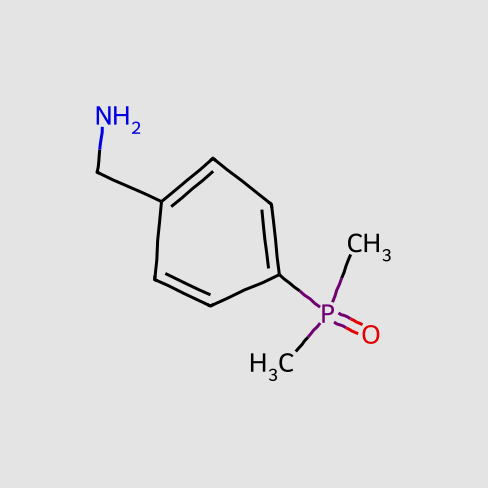 CP(C)(=O)c1ccc(CN)cc1